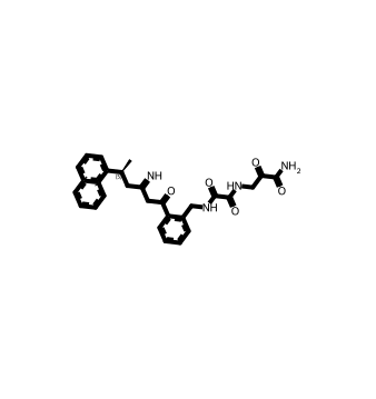 C[C@@H](CC(=N)CC(=O)c1ccccc1CNC(=O)C(=O)NCC(=O)C(N)=O)c1cccc2ccccc12